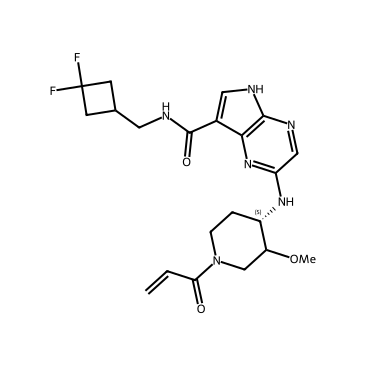 C=CC(=O)N1CC[C@H](Nc2cnc3[nH]cc(C(=O)NCC4CC(F)(F)C4)c3n2)C(OC)C1